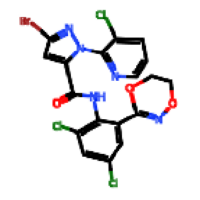 O=C(Nc1c(Cl)cc(Cl)cc1C1=NOCCO1)c1cc(Br)nn1-c1ncccc1Cl